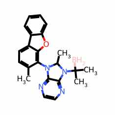 BC(C)(C)N1c2nccnc2N(c2c(C)ccc3c2oc2ccccc23)C1C